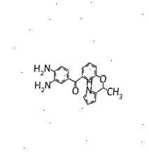 CC(Oc1cccc(C(=O)c2ccc(N)c(N)c2)c1)c1ccc[nH]1